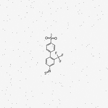 CS(=O)(=O)c1ccc(-c2ccc(N=S)cc2C(F)(F)F)cc1